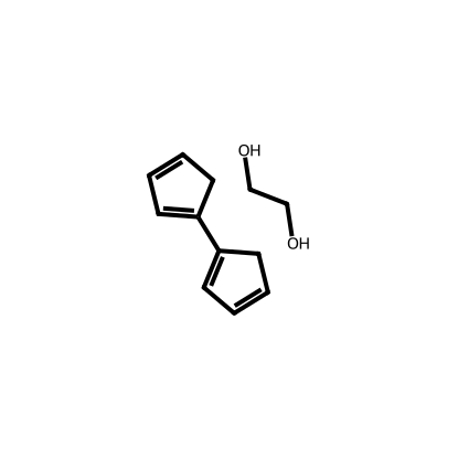 C1=CCC(C2=CC=CC2)=C1.OCCO